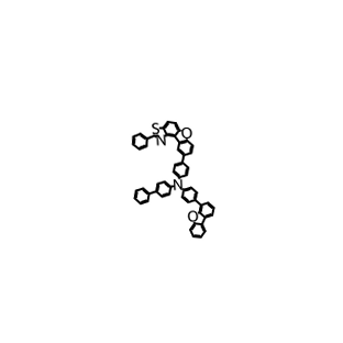 c1ccc(-c2ccc(N(c3ccc(-c4ccc5oc6ccc7sc(-c8ccccc8)nc7c6c5c4)cc3)c3ccc(-c4cccc5c4oc4ccccc45)cc3)cc2)cc1